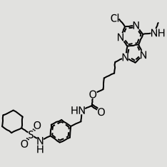 CNc1nc(Cl)nc2c1ncn2CCCCOC(=O)NCc1ccc(NS(=O)(=O)C2CCCCC2)cc1